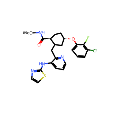 CONC(=O)[C@H]1CC[C@H](Oc2cccc(Cl)c2F)CC1Cc1ncccc1Nc1nccs1